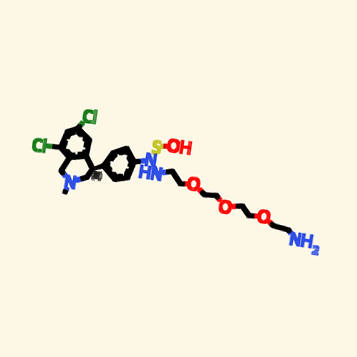 CN1Cc2c(Cl)cc(Cl)cc2[C@@H](c2ccc(N(NCCOCCOCCOCCN)SO)cc2)C1